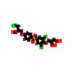 O=S(=O)(c1ccc(OC[C@@H](O)CCl)cc1)c1cc(Cl)c(OC[C@H](O)CO)c(Cl)c1